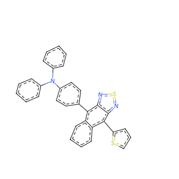 c1ccc(N(c2ccccc2)c2ccc(-c3c4ccccc4c(-c4cccs4)c4nsnc34)cc2)cc1